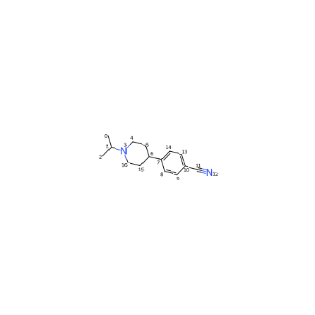 CC(C)N1CCC(c2ccc(C#N)cc2)CC1